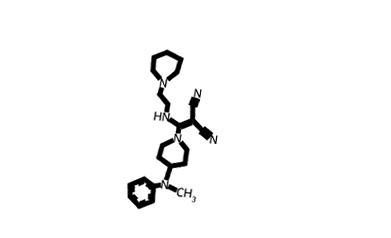 CN(c1ccccc1)C1CCN(C(NCCN2CCCCC2)=C(C#N)C#N)CC1